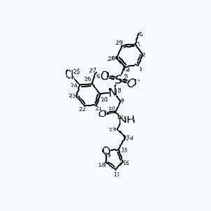 Cc1ccc(S(=O)(=O)N(CC(=O)NCCc2ccco2)c2cccc(Cl)c2C)cc1